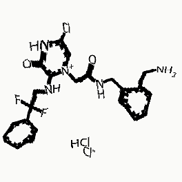 Cl.NCc1ccccc1CNC(=O)C[n+]1cc(Cl)[nH]c(=O)c1NCC(F)(F)c1ccccc1.[Cl-]